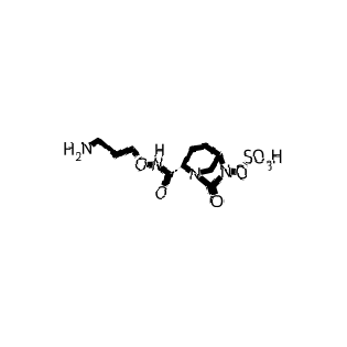 NCCCONC(=O)[C@@H]1CCC2CN1C(=O)N2OS(=O)(=O)O